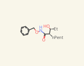 CCCCC[C@@H](C(=O)NOCc1ccccc1)[C@@H](O)CC